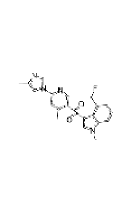 Cc1cn(-c2cc(C)c(S(=O)(=O)c3cn(C)c4cccc(CF)c34)cn2)cn1